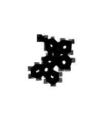 Brc1ccc2c(c1)-c1cc(-c3ccccc3-c3ccccc3)ccc1C21c2ccccc2-c2ccccc21